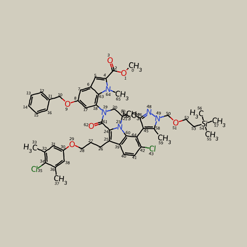 COC(=O)c1cc2cc(OCc3ccccc3)cc(N3C[C@@H](C)n4c(c(CCCOc5cc(C)c(Cl)c(C)c5)c5ccc(Cl)c(-c6c(C)nn(COCC[Si](C)(C)C)c6C)c54)C3=O)c2n1C